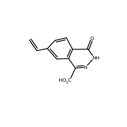 C=Cc1ccc2c(=O)[nH]nc(C(=O)O)c2c1